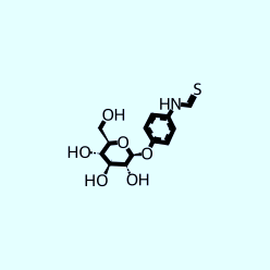 OC[C@H]1O[C@@H](Oc2ccc(NC=S)cc2)[C@H](O)[C@@H](O)[C@@H]1O